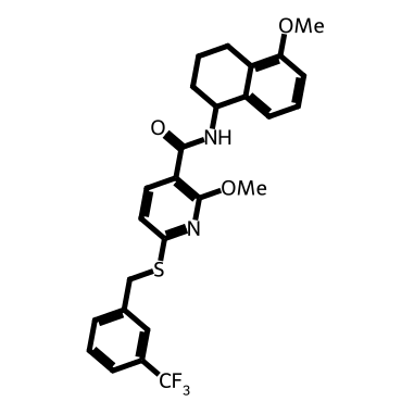 COc1cccc2c1CCCC2NC(=O)c1ccc(SCc2cccc(C(F)(F)F)c2)nc1OC